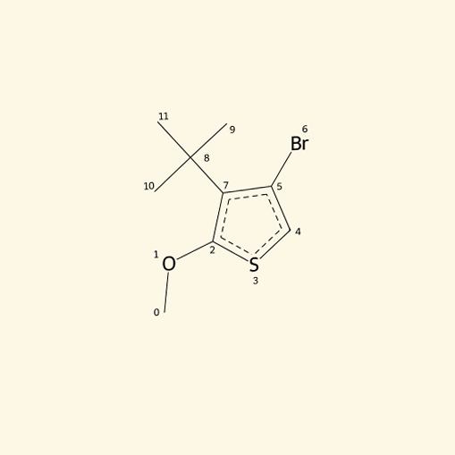 COc1scc(Br)c1C(C)(C)C